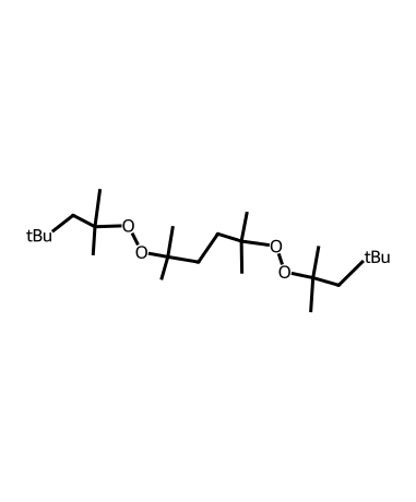 CC(C)(C)CC(C)(C)OOC(C)(C)CCC(C)(C)OOC(C)(C)CC(C)(C)C